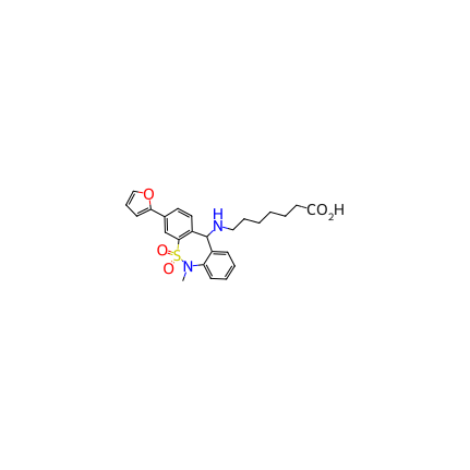 CN1c2ccccc2C(NCCCCCCC(=O)O)c2ccc(-c3ccco3)cc2S1(=O)=O